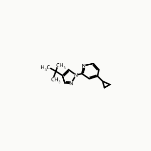 CC(C)(C)c1cnn(-c2cc(C3CC3)ccn2)c1